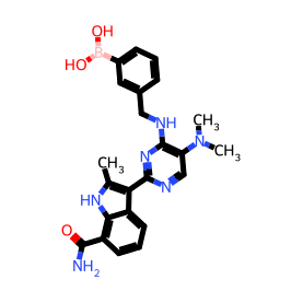 Cc1[nH]c2c(C(N)=O)cccc2c1-c1ncc(N(C)C)c(NCc2cccc(B(O)O)c2)n1